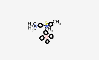 Cc1ccc2c(c1)sc(-c1ccc(N(C)C)cc1)[n+]2C.c1ccc([B-](c2ccccc2)(c2ccccc2)c2ccccc2)cc1